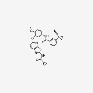 COc1ccc(NC(=O)c2cccc(C3(C#N)CC3)c2)cc1Oc1ccc2nc(NC(=O)C3CC3)sc2n1